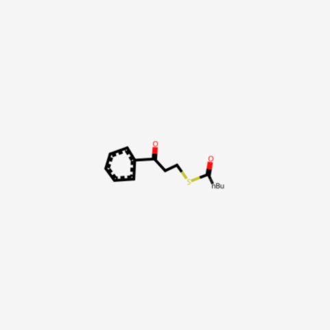 CCCCC(=O)SCCC(=O)c1ccccc1